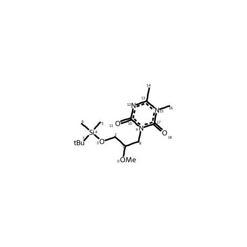 COC(CO[Si](C)(C)C(C)(C)C)Cn1c(=O)nc(C)n(C)c1=O